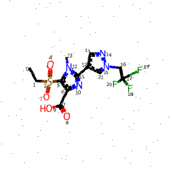 CCS(=O)(=O)c1c(C(=O)O)nc(-c2cnn(CC(F)(F)F)c2)n1C